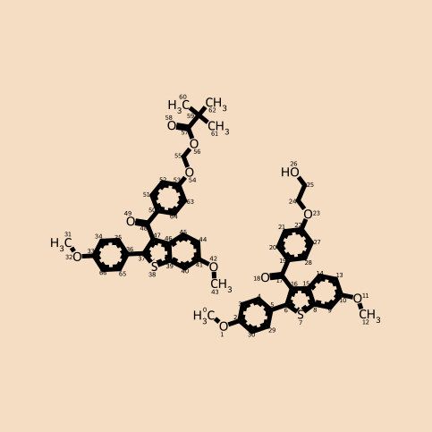 COc1ccc(-c2sc3cc(OC)ccc3c2C(=O)c2ccc(OCCO)cc2)cc1.COc1ccc(-c2sc3cc(OC)ccc3c2C(=O)c2ccc(OCOC(=O)C(C)(C)C)cc2)cc1